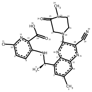 Cc1cc([C@@H](C)Nc2ccc(Cl)nc2C(=O)O)c2nc(N3CCN(C)C(=O)C3)c(C#N)nc2c1